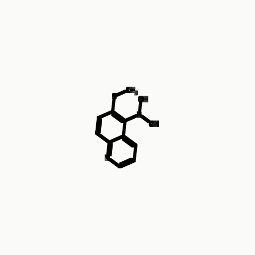 CSc1ccc2ncccc2c1B(O)O